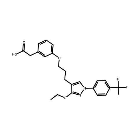 CCOc1nn(-c2ccc(C(F)(F)F)cc2)cc1CCCOc1cccc(CC(=O)O)c1